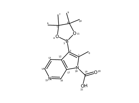 Cc1c(B2OC(C)(C)C(C)(C)O2)c2ccncc2n1C(=O)O